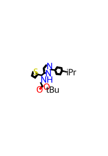 CC(C)c1ccc(-c2nccc(C(NCC(=O)OC(C)(C)C)c3cccs3)n2)cc1